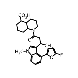 CC(CC(=O)N1CCCC2C(C(=O)O)CCCC21)c1cn(C)c2cccc(-c3ccc(F)o3)c12